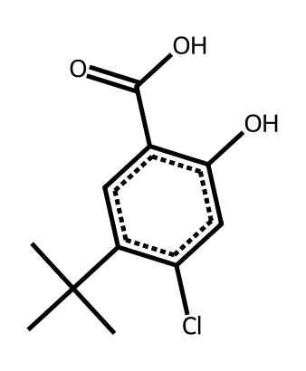 CC(C)(C)c1cc(C(=O)O)c(O)cc1Cl